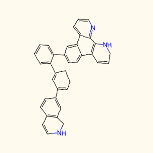 C1=Cc2c(c3ncccc3c3cc(-c4ccccc4C4=CC(c5ccc6c(c5)CNC=C6)=CCC4)ccc23)NC1